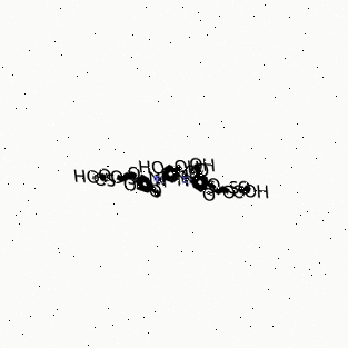 COc1ccc(S(=O)(=O)CCOSOOO)cc1/N=N/c1cc(/N=N/c2ccc(S(=O)(=O)CCOSOOO)cc2S(=O)(=O)O)c(O)cc1O